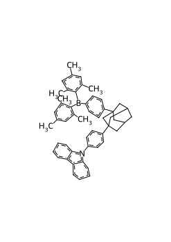 Cc1cc(C)c(B(c2ccc(C34CC5CC(C3)CC(c3ccc(-n6c7ccccc7c7ccccc76)cc3)(C5)C4)cc2)c2c(C)cc(C)cc2C)c(C)c1